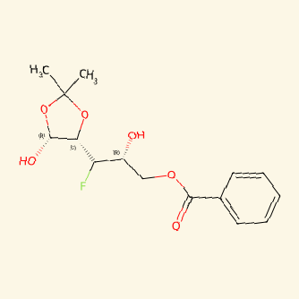 CC1(C)O[C@@H](O)[C@@H](C(F)[C@H](O)COC(=O)c2ccccc2)O1